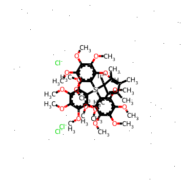 COc1c(OC)c(OC)c([Si](c2c(OC)c(OC)c(OC)c(OC)c2OC)(c2c(OC)c(OC)c(OC)c(OC)c2OC)[C]2([Ti+3])C(C)=C(C)C(C)=C2C)c(OC)c1OC.[Cl-].[Cl-].[Cl-]